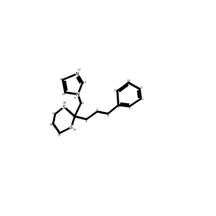 c1ccc(CCCC2(Cn3ccnc3)SCCCS2)cc1